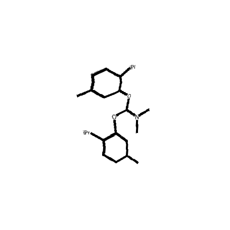 CC1CCC(C(C)C)C(OC(OC2CC(C)CCC2C(C)C)N(C)C)C1